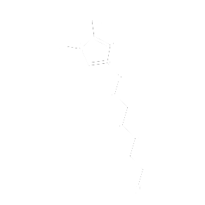 CCCCCCCCCCCCCCCCNc1cc(C(=O)OCC)n(C)c1